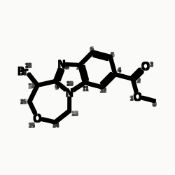 COC(=O)c1ccc2nc3n(c2c1)CCOCC3Br